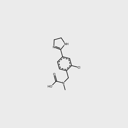 CN(Cc1ccc(C2=NCCN2)cc1Cl)C(=O)O